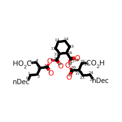 CCCCCCCCCCCCC(CC(=O)O)C(=O)OC(=O)C1CCCCC1C(=O)OC(=O)C(CCCCCCCCCCCC)CC(=O)O